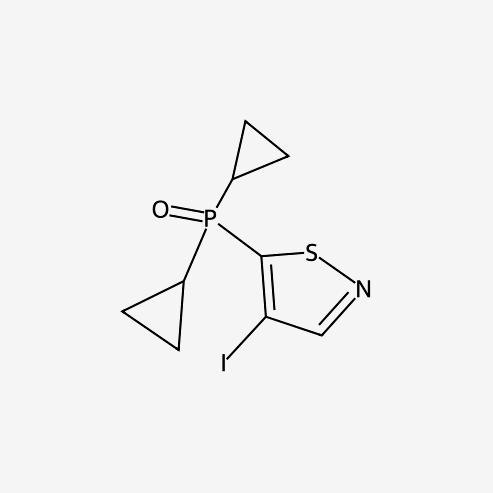 O=P(c1sncc1I)(C1CC1)C1CC1